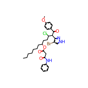 CCCCCCCC(CCC(Cl)C(C(=O)c1ccc(OC)cc1)c1n[nH]cc1Br)OC(=O)CC(=O)Nc1ccccc1